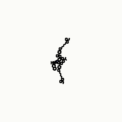 C=CC(=O)OCCCCCCOc1ccc(C(=O)Oc2cc(OC(=O)C(=C)C)c(OC(=O)c3ccc(OCCCCCCOC(=O)C=C)cc3)cc2/C=N/Nc2ccc3ccccc3c2)cc1